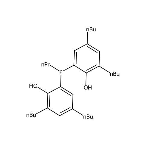 CCCCc1cc(CCCC)c(O)c(P(CCC)c2cc(CCCC)cc(CCCC)c2O)c1